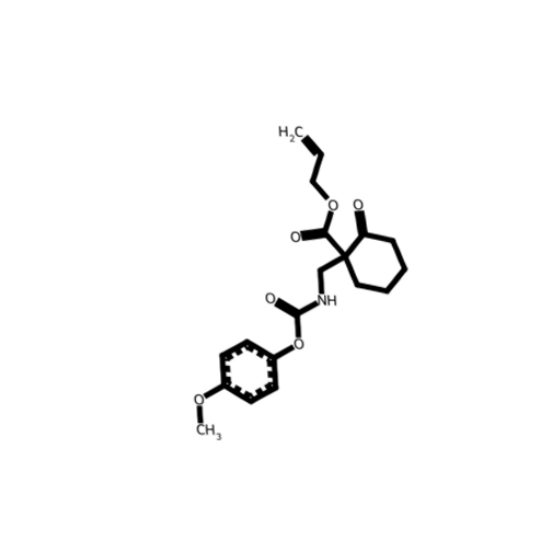 C=CCOC(=O)C1(CNC(=O)Oc2ccc(OC)cc2)CCCCC1=O